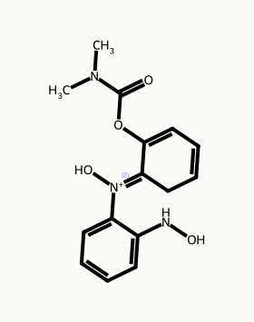 CN(C)C(=O)OC1=CC=CC/C1=[N+](/O)c1ccccc1NO